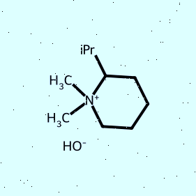 CC(C)C1CCCC[N+]1(C)C.[OH-]